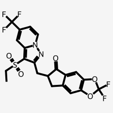 CCS(=O)(=O)c1c(CC2Cc3cc4c(cc3C2=O)OC(F)(F)O4)nn2ccc(C(F)(F)F)cc12